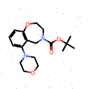 CC(C)(C)OC(=O)N1CCOc2cccc(N3CCOCC3)c2C1